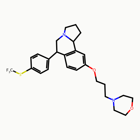 FC(F)(F)Sc1ccc(C2CN3CCCC3c3cc(OCCCN4CCOCC4)ccc32)cc1